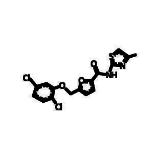 Cc1csc(NC(=O)c2ccc(COc3cc(Cl)ccc3Cl)o2)n1